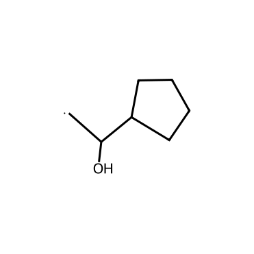 [CH2]C(O)C1CCCC1